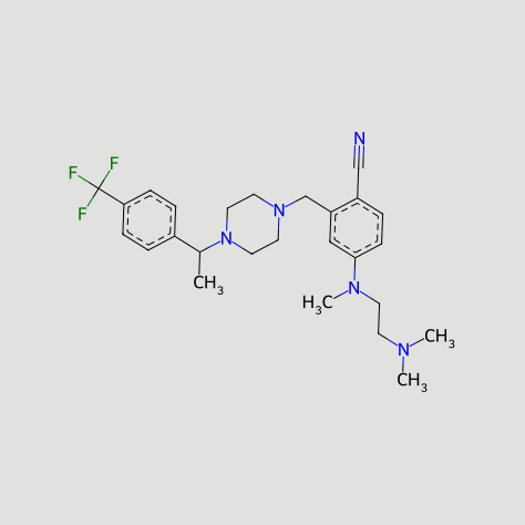 CC(c1ccc(C(F)(F)F)cc1)N1CCN(Cc2cc(N(C)CCN(C)C)ccc2C#N)CC1